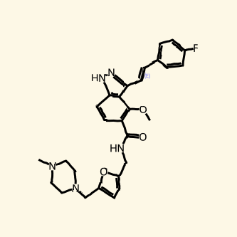 COc1c(C(=O)NCc2ccc(CN3CCN(C)CC3)o2)ccc2[nH]nc(/C=C/c3ccc(F)cc3)c12